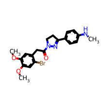 CNc1ccc(C2=NN(C(=O)Cc3cc(OC)c(OC)cc3Br)CC2)cc1